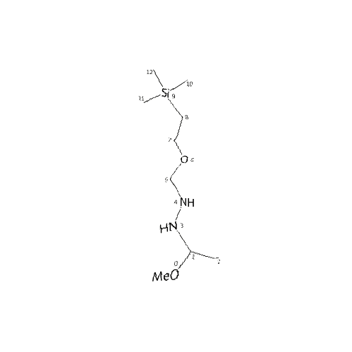 COC(C)NNCOCC[Si](C)(C)C